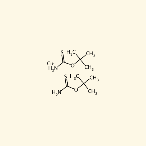 CC(C)(C)OC(N)=S.CC(C)(C)OC(N)=S.[Cu]